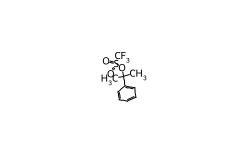 CC(C)(OS(=O)(=O)C(F)(F)F)c1ccccc1